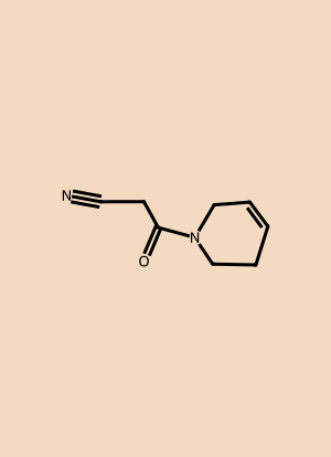 N#CCC(=O)N1CC=CCC1